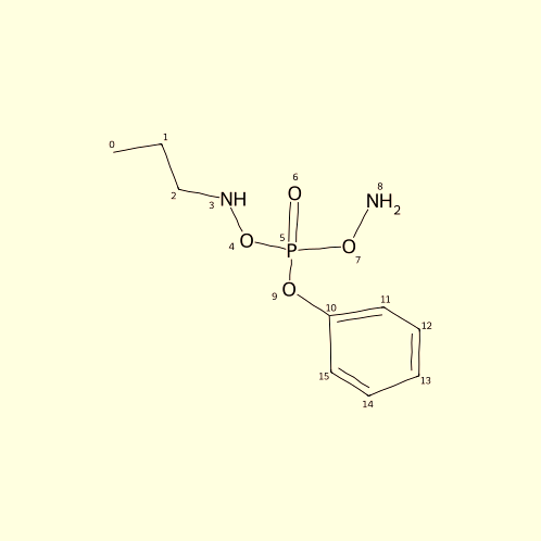 CCCNOP(=O)(ON)Oc1ccccc1